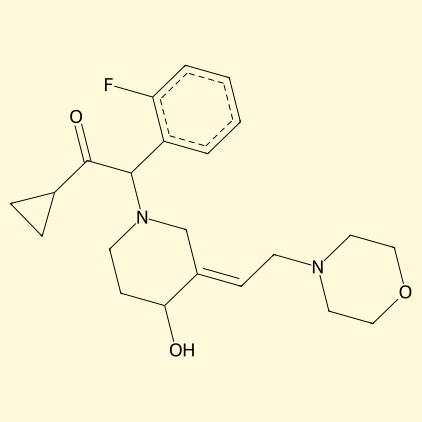 O=C(C1CC1)C(c1ccccc1F)N1CCC(O)C(=CCN2CCOCC2)C1